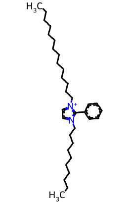 CCCCCCCCCCCCCC[n+]1ccn(CCCCCCCCCC)c1-c1ccccc1